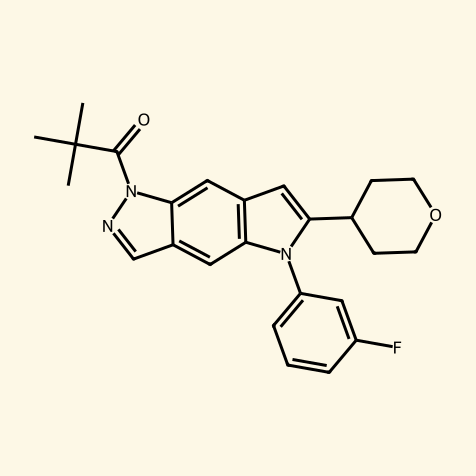 CC(C)(C)C(=O)n1ncc2cc3c(cc(C4CCOCC4)n3-c3cccc(F)c3)cc21